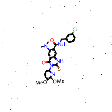 COc1ccc(-n2c(=S)[nH]c3cc(C(=O)NCc4cccc(Cl)c4)c(N(C)C)cc3c2=O)nc1OC